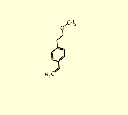 C=Cc1ccc(CCOC)cc1